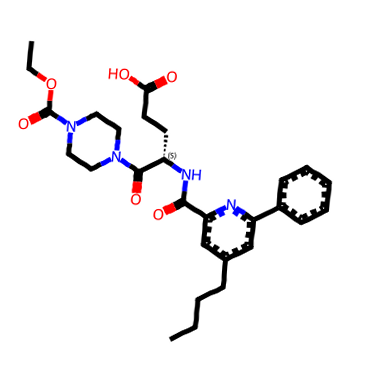 CCCCc1cc(C(=O)N[C@@H](CCC(=O)O)C(=O)N2CCN(C(=O)OCC)CC2)nc(-c2ccccc2)c1